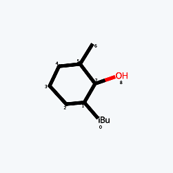 CCC(C)C1CCCC(C)C1O